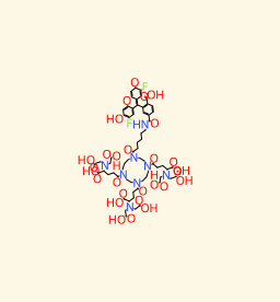 O=C(O)CN(CC(=O)O)C(CCC(=O)N1CCCN(C(=O)CCC(C(=O)O)N(CC(=O)O)CC(=O)O)CCN(C(=O)CCC(C(=O)O)N(CC(=O)O)CC(=O)O)CCCN(C(=O)CCCCCNC(=O)c2ccc(C(=O)O)c(-c3c4cc(F)c(=O)cc-4oc4cc(O)c(F)cc34)c2)CC1)C(=O)O